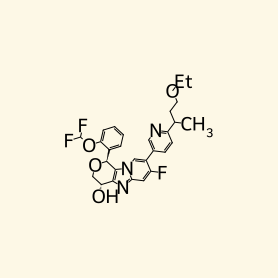 CCOCCC(C)c1ccc(-c2cn3c4c(nc3cc2F)[C@H](O)CO[C@H]4c2ccccc2OC(F)F)cn1